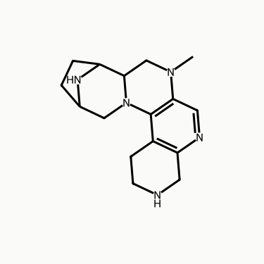 CN1CC2C3CCC(CN2c2c1cnc1c2CCNC1)N3